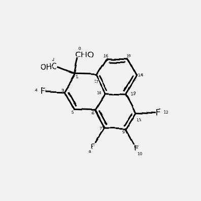 O=CC1(C=O)C(F)=Cc2c(F)c(F)c(F)c3cccc1c23